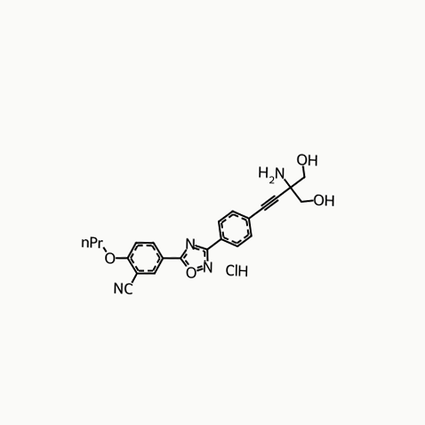 CCCOc1ccc(-c2nc(-c3ccc(C#CC(N)(CO)CO)cc3)no2)cc1C#N.Cl